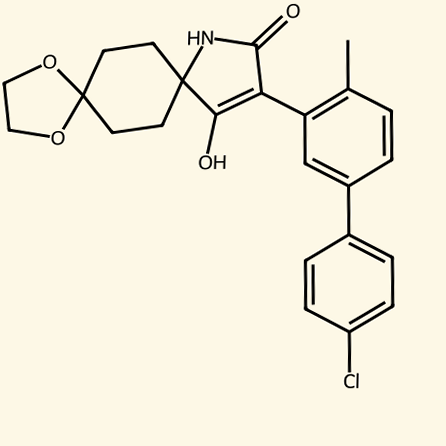 Cc1ccc(-c2ccc(Cl)cc2)cc1C1=C(O)C2(CCC3(CC2)OCCO3)NC1=O